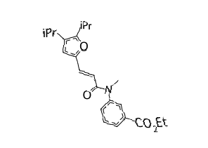 CCOC(=O)c1cccc(N(C)C(=O)C=Cc2cc(C(C)C)c(C(C)C)o2)c1